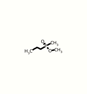 CCCP(C)(=O)OC